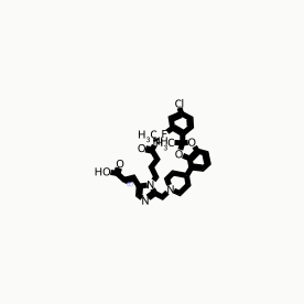 CNC(=O)CCCn1c(/C=C/C(=O)O)cnc1CN1CCC(c2cccc3c2OC(C)(c2ccc(Cl)cc2F)O3)CC1